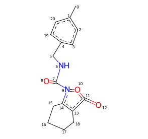 Cc1ccc(CNC(=O)n2oc(=O)c3c2CCCC3)cc1